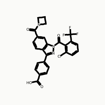 O=C(O)c1ccc(-c2nn(C(=O)c3c(Cl)cccc3C(F)(F)F)c3cc(C(=O)N4CCC4)ccc23)cc1